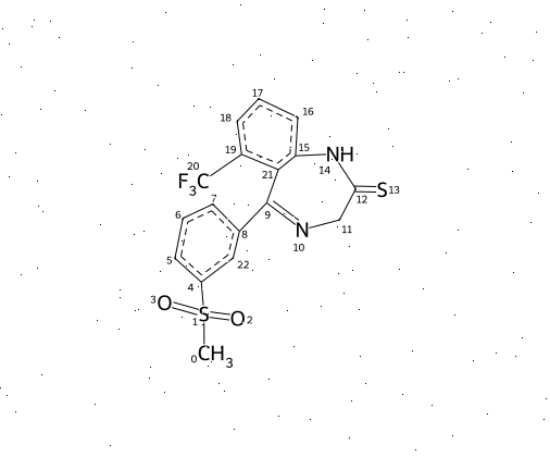 CS(=O)(=O)c1cccc(C2=NCC(=S)Nc3cccc(C(F)(F)F)c32)c1